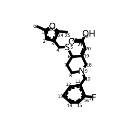 Cc1cc(CSC2CCN(Cc3ccccc3F)C/C2=C/C(=O)O)c(C)o1